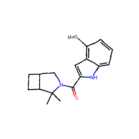 COc1cccc2[nH]c(C(=O)N3CC4CCC4C3(C)C)cc12